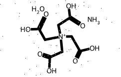 N.O.O=C(O)C[N+](CC(=O)O)(CC(=O)O)CC(=O)O